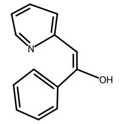 O/C(=C/c1ccccn1)c1ccccc1